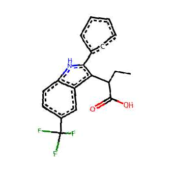 CCC(C(=O)O)c1c(-c2ccccc2)[nH]c2ccc(C(F)(F)F)cc12